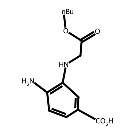 CCCCOC(=O)CNc1cc(C(=O)O)ccc1N